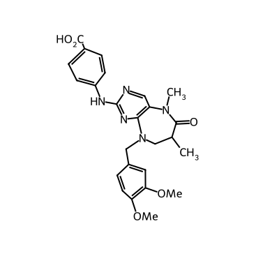 COc1ccc(CN2CC(C)C(=O)N(C)c3cnc(Nc4ccc(C(=O)O)cc4)nc32)cc1OC